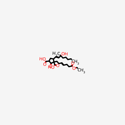 CCCCCC(C)(O)/C=C/C1CC(C(=O)O)C(=O)C1(CC/C=C/CCC(=O)OCC)C(=O)O